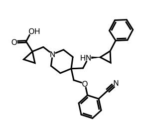 N#Cc1ccccc1OCC1(CN[C@@H]2CC2c2ccccc2)CCN(CC2(C(=O)O)CC2)CC1